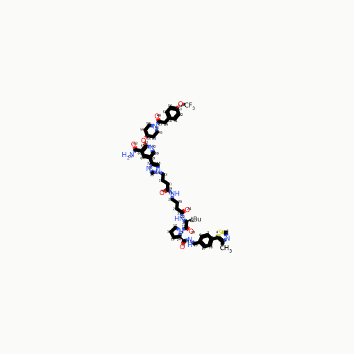 Cc1ncsc1-c1ccc(CNC(=O)[C@H]2CCCN2C(=O)[C@@H](NC(=O)CCCNC(=O)CCCn2cnc(-c3cnc(OC4CCN(C(=O)Cc5ccc(OC(F)(F)F)cc5)CC4)c(C(N)=O)c3)c2)C(C)(C)C)cc1